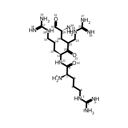 N=C(N)NCCC[C@@H](N)C(=O)N[C@@H](CCCNC(=N)N)C(=O)C(CNC(=N)N)C[C@@H](N)[C]=O